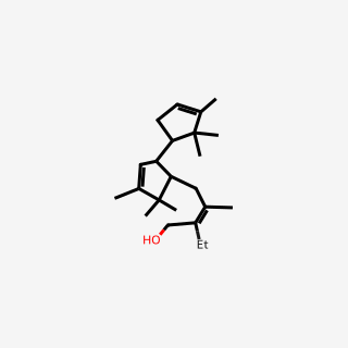 CCC(CO)=C(C)CC1C(C2CC=C(C)C2(C)C)C=C(C)C1(C)C